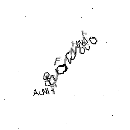 CC(=O)NC[C@H]1CN(c2ccc(N3CCN(CC(=O)NC(=O)Nc4ccccc4)CC3)c(F)c2)C(=O)O1